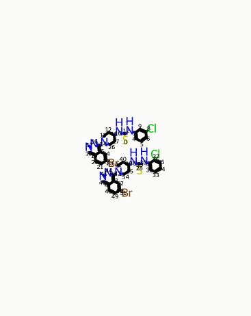 S=C(Nc1cccc(Cl)c1)NC1CCN(c2nncc3ccc(Br)cc23)CC1.S=C(Nc1ccccc1Cl)NC1CCN(c2nncc3ccc(Br)cc23)CC1